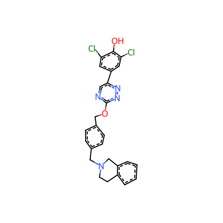 Oc1c(Cl)cc(-c2cnc(OCc3ccc(CN4CCc5ccccc5C4)cc3)nn2)cc1Cl